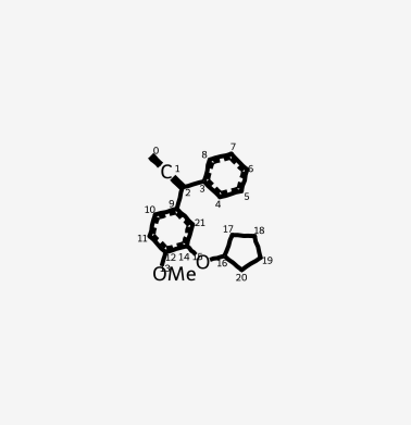 C=C=C(c1ccccc1)c1ccc(OC)c(OC2CCCC2)c1